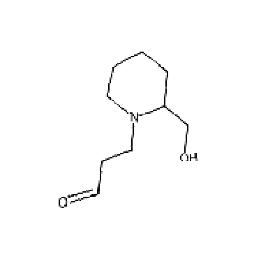 O=CCCN1CCCCC1CO